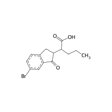 CCCC(C(=O)O)C1Cc2ccc(Br)cc2C1=O